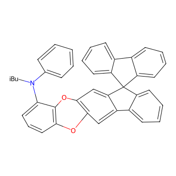 CCC(C)N(c1ccccc1)c1cccc2c1Oc1cc3c(cc1O2)-c1ccccc1C31c2ccccc2-c2ccccc21